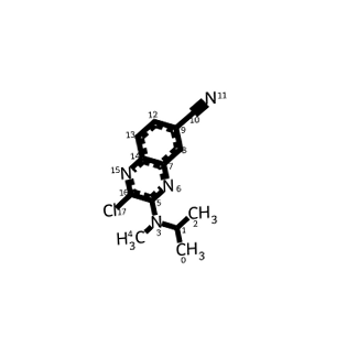 CC(C)N(C)c1nc2cc(C#N)ccc2nc1Cl